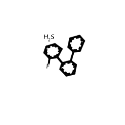 Fc1ccccc1-c1ccccc1-c1ccccc1.S